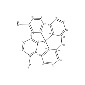 Brc1cccc(C2(c3cccc(Br)n3)c3ccccc3Sc3ccccc32)n1